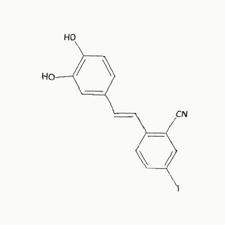 N#Cc1cc(I)ccc1C=Cc1ccc(O)c(O)c1